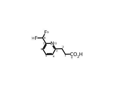 O=C(O)CCc1cccc(C(F)F)n1